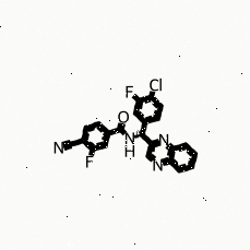 N#Cc1ccc(C(=O)N[C@@H](c2ccc(Cl)c(F)c2)c2cnc3ccccc3n2)cc1F